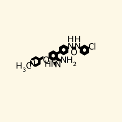 CN1CCC(COc2ccc(-c3ccc(NC(=O)Nc4cccc(Cl)c4)cc3)c3c(N)n[nH]c23)CC1